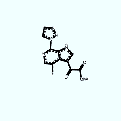 COC(=O)C(=O)c1c[nH]c2c(-n3ccnn3)ncc(F)c12